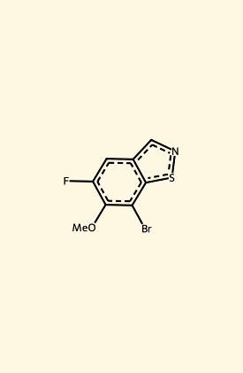 COc1c(F)cc2cnsc2c1Br